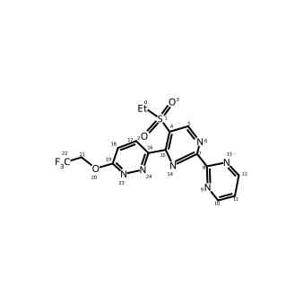 CCS(=O)(=O)c1cnc(-c2ncccn2)nc1-c1ccc(OCC(F)(F)F)nn1